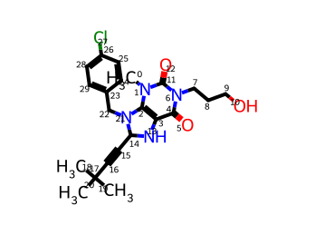 Cn1c2c(c(=O)n(CCCO)c1=O)NC(C#CC(C)(C)C)N2Cc1ccc(Cl)cc1